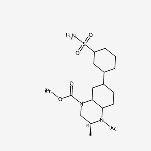 CC(=O)N1C2CCC(C3CCCC(S(N)(=O)=O)C3)CC2N(C(=O)OC(C)C)C[C@@H]1C